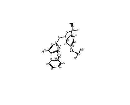 C#CC(C)(CCCc1cc(F)cc(Oc2ccccc2)n1)c1ccc(OC(C)C)cc1